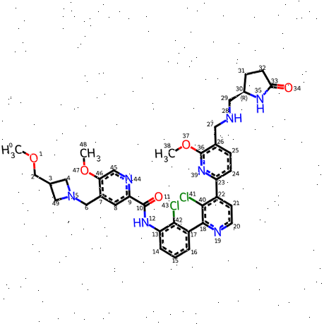 COCC1CN(Cc2cc(C(=O)Nc3cccc(-c4nccc(-c5ccc(CNC[C@H]6CCC(=O)N6)c(OC)n5)c4Cl)c3Cl)ncc2OC)C1